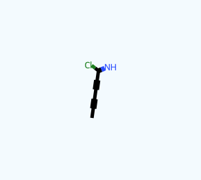 CC#CC#CC(=N)Cl